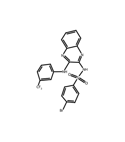 O=S(=O)(Nc1nc2ccccc2nc1Nc1cccc(C(F)(F)F)c1)c1ccc(Br)cc1